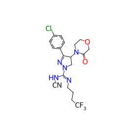 N#CNC(=NCCCC(F)(F)F)N1CC(N2CCOCC2=O)C(c2ccc(Cl)cc2)=N1